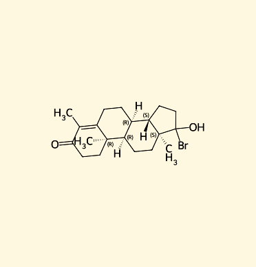 CC1=C2CC[C@@H]3[C@@H](CC[C@@]4(C)[C@H]3CCC4(O)Br)[C@@]2(C)CCC1=O